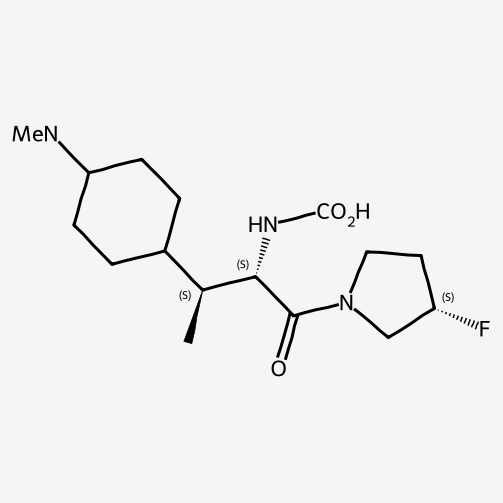 CNC1CCC([C@H](C)[C@H](NC(=O)O)C(=O)N2CC[C@H](F)C2)CC1